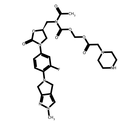 CC(=O)N(C[C@H]1CN(c2ccc(N3Cc4cn(C)nc4C3)c(F)c2)C(=O)O1)C(=O)OCOC(=O)CN1CCNCC1